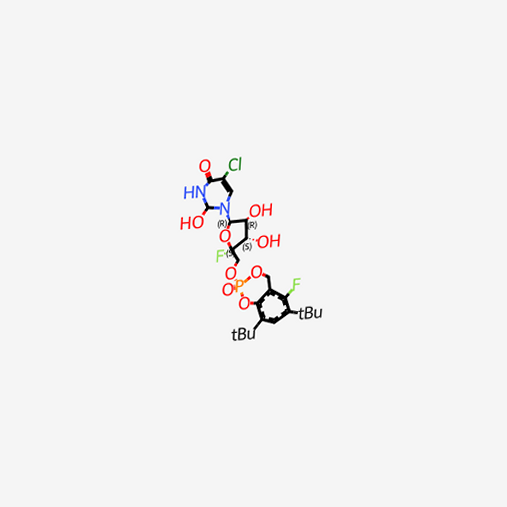 CC(C)(C)c1cc(C(C)(C)C)c2c(c1F)COP(=O)(OC[C@@]1(F)O[C@@H](N3C=C(Cl)C(=O)NC3O)[C@H](O)[C@@H]1O)O2